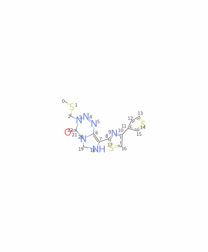 CSCN1N=NC2=C(c3nc(-c4ccsc4)cs3)NCN2C1=O